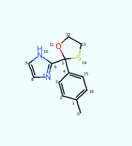 Cc1ccc(C2(c3ncc[nH]3)OCCS2)cc1